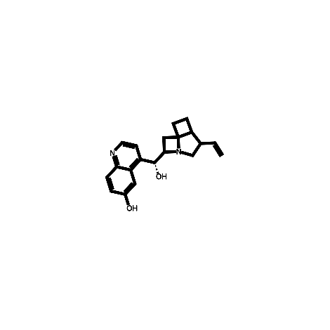 C=CC1CN2C([C@H](O)c3ccnc4ccc(O)cc34)CC23CCC13